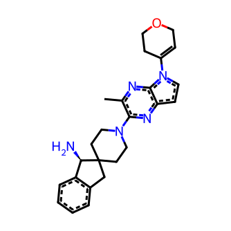 Cc1nc2c(ccn2C2=CCOCC2)nc1N1CCC2(CC1)Cc1ccccc1[C@H]2N